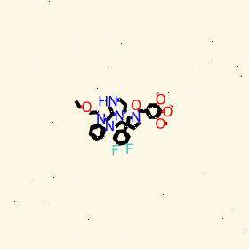 CCOCCn1c(C2CNCCCN2C(C)C2(c3ccc(F)c(F)c3)CCN(C(=O)c3cc(OC)c(OC)c(OC)c3)C2)nc2ccccc21